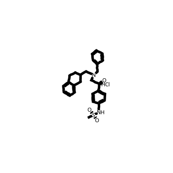 CS(=O)(=O)Nc1ccc(C(=O)CN(Cc2ccccc2)CC2CCc3ccccc3C2)cc1.Cl